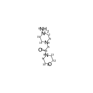 NN1CCN(CC(=O)N2CCOCC2)CC1